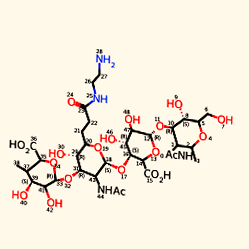 CC(=O)NC1C(C)OC(CO)[C@@H](O)[C@@H]1O[C@@H]1OC(C(=O)O)[C@@H](O[C@@H]2OC(CCC(=O)NCCN)[C@@H](O)[C@H](O[C@@H]3OC(C(=O)O)C(C)[C@H](O)C3O)C2NC(C)=O)[C@H](O)C1O